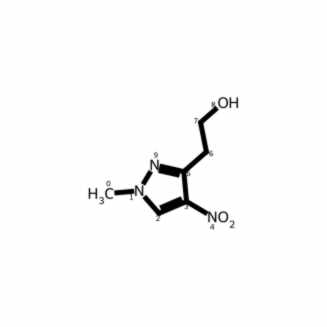 Cn1cc([N+](=O)[O-])c(CCO)n1